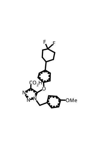 COc1ccc(Cn2nnc(C(=O)O)c2Oc2ccc(C3CCC(F)(F)CC3)cc2)cc1